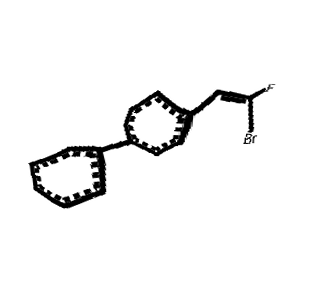 FC(Br)=Cc1ccc(-c2ccccc2)cc1